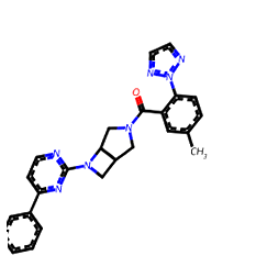 Cc1ccc(-n2nccn2)c(C(=O)N2CC3CN(c4nccc(-c5ccccc5)n4)C3C2)c1